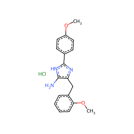 COc1ccc(-c2nc(Cc3ccccc3OC)c(N)[nH]2)cc1.Cl